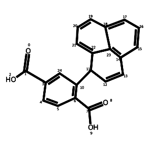 O=C(O)c1ccc(C(=O)O)c(C2C=Cc3cccc4cccc2c34)c1